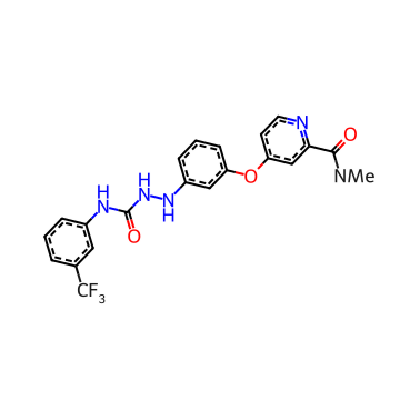 CNC(=O)c1cc(Oc2cccc(NNC(=O)Nc3cccc(C(F)(F)F)c3)c2)ccn1